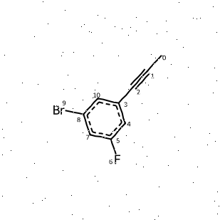 CC#Cc1cc(F)cc(Br)c1